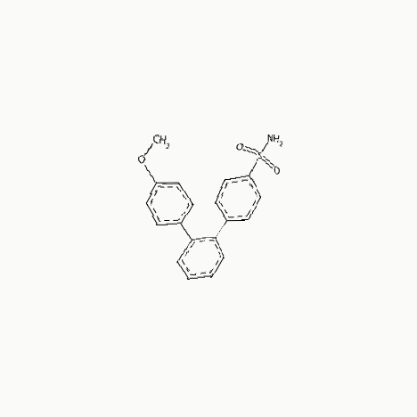 COc1ccc(-c2ccccc2-c2ccc(S(N)(=O)=O)cc2)cc1